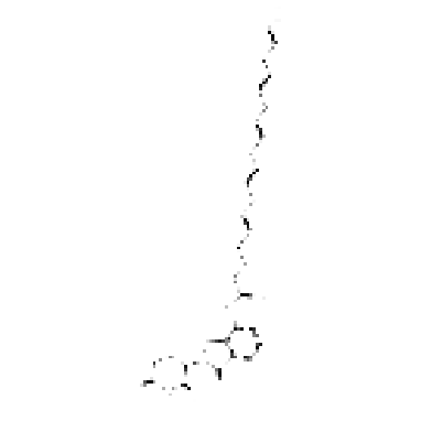 CCC=CCC=CCC=CCC=CCC=CCCCC(=O)Nc1cccc2c1CN(C1CCC(=O)NC1=O)C2=O